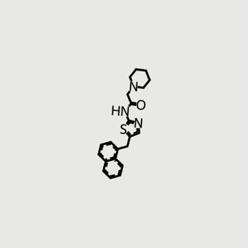 O=C(CN1CCCCC1)Nc1ncc(Cc2cccc3ccccc23)s1